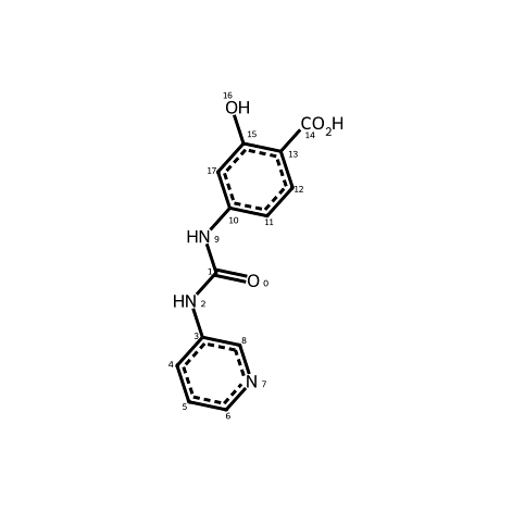 O=C(Nc1cccnc1)Nc1ccc(C(=O)O)c(O)c1